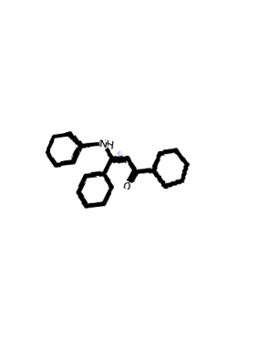 O=C(/C=C(/NC1CCCCC1)C1CCCCC1)C1CCCCC1